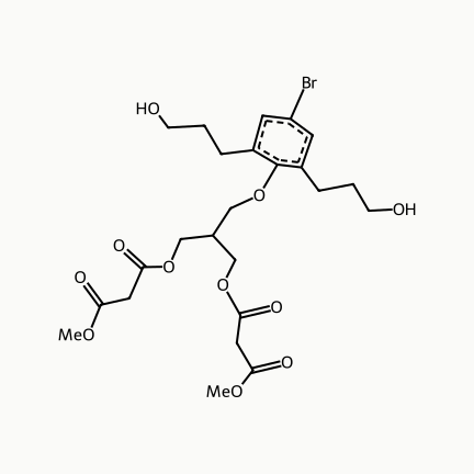 COC(=O)CC(=O)OCC(COC(=O)CC(=O)OC)COc1c(CCCO)cc(Br)cc1CCCO